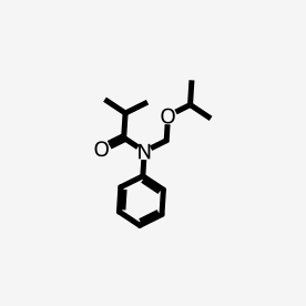 CC(C)OCN(C(=O)C(C)C)c1ccccc1